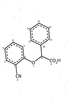 N#Cc1ccccc1OC(C(=O)O)c1ccccc1